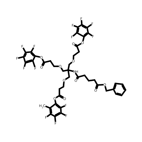 Cc1c(F)c(F)c(F)c(F)c1OC(=O)CCOCC(COCCC(=O)Oc1c(F)c(F)c(F)c(F)c1F)(COCCC(=O)Oc1c(F)c(F)c(F)c(F)c1F)NC(=O)CCCC(=O)OCc1ccccc1